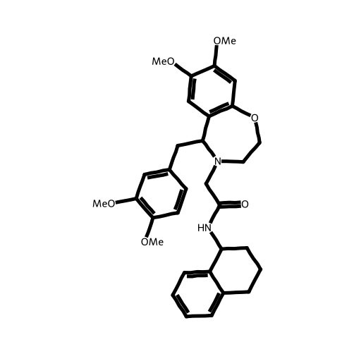 COc1ccc(CC2c3cc(OC)c(OC)cc3OCCN2CC(=O)NC2CCCc3ccccc32)cc1OC